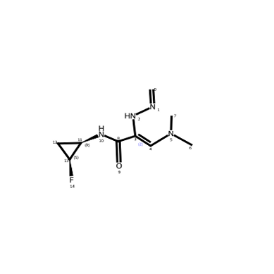 C=NN/C(=C\N(C)C)C(=O)N[C@@H]1C[C@@H]1F